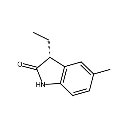 CC[C@H]1C(=O)Nc2ccc(C)cc21